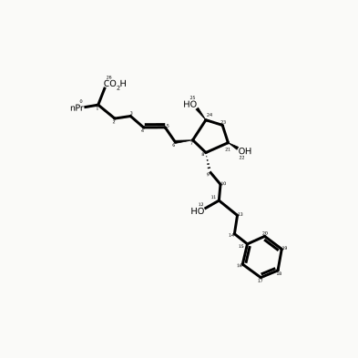 CCCC(CCC=CC[C@@H]1[C@@H](CCC(O)CCc2ccccc2)[C@H](O)C[C@@H]1O)C(=O)O